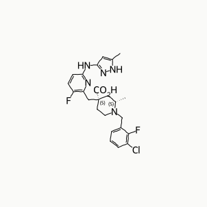 Cc1cc(Nc2ccc(F)c(C[C@]3(C(=O)O)CCN(Cc4cccc(Cl)c4F)[C@@H](C)C3)n2)n[nH]1